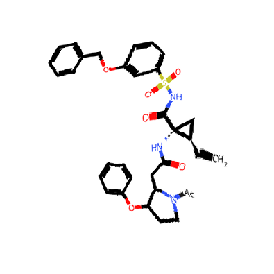 C=C[C@@H]1C[C@]1(NC(=O)CC1C(Oc2ccccc2)CCN1C(C)=O)C(=O)NS(=O)(=O)c1cccc(OCc2ccccc2)c1